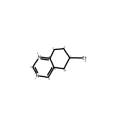 [CH2]CC1CCc2ncncc2C1